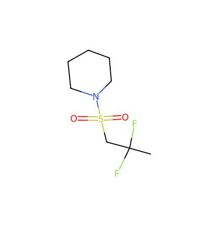 CC(F)(F)CS(=O)(=O)N1CCCCC1